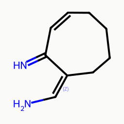 N=C1C=CCCCC/C1=C/N